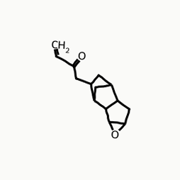 C=CC(=O)CC1CC2CC1C1C2CC2OC21